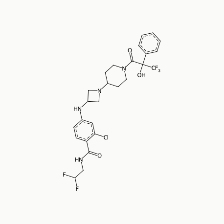 O=C(NCC(F)F)c1ccc(NC2CN(C3CCN(C(=O)C(O)(c4ccccc4)C(F)(F)F)CC3)C2)cc1Cl